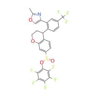 Cc1nc(-c2cc(C(F)(F)F)ccc2C2CCOc3cc(S(=O)Oc4c(F)c(F)c(F)c(F)c4F)ccc32)co1